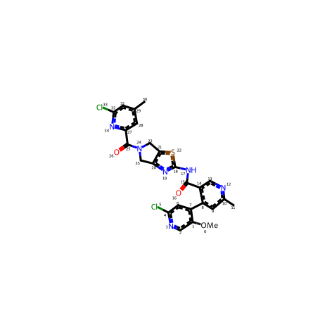 COc1cnc(Cl)cc1-c1cc(C)ncc1C(=O)Nc1nc2c(s1)CN(C(=O)c1cc(C)cc(Cl)n1)C2